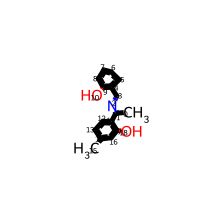 C/C(=N\Cc1ccccc1O)c1ccc(C)cc1O